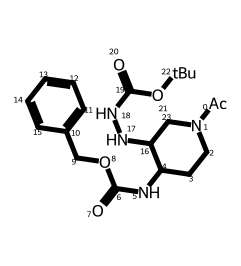 CC(=O)N1CCC(NC(=O)OCc2ccccc2)C(NNC(=O)OC(C)(C)C)C1